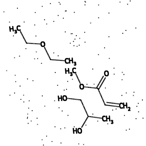 C=CC(=O)OC.CC(O)CO.CCOCC